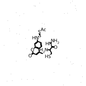 CC(=O)SSNc1ccc2c(C)cc(=O)oc2c1.NNC(=O)C(N)CS